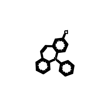 Clc1ccc2c(c1)C=Cc1ccccc1N2c1ccccc1